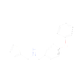 c1ccc(Oc2ccc(CNCc3cccs3)cc2)cc1